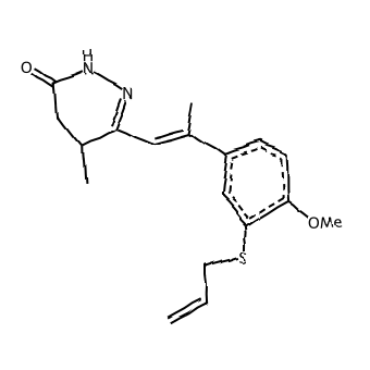 C=CCSc1cc(C(C)=CC2=NNC(=O)CC2C)ccc1OC